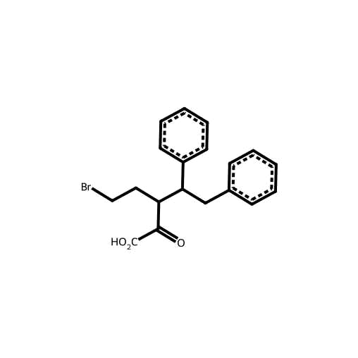 O=C(O)C(=O)C(CCBr)C(Cc1ccccc1)c1ccccc1